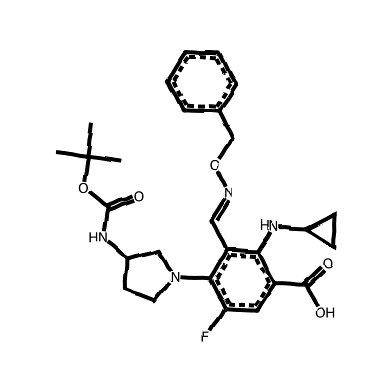 CC(C)(C)OC(=O)NC1CCN(c2c(F)cc(C(=O)O)c(NC3CC3)c2C=NOCc2ccccc2)C1